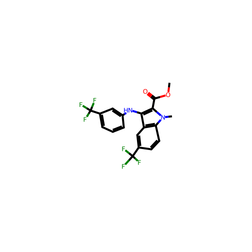 COC(=O)c1c(Nc2cccc(C(F)(F)F)c2)c2cc(C(F)(F)F)ccc2n1C